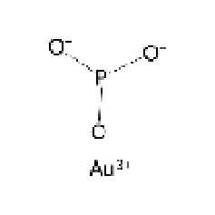 [Au+3].[O-]P([O-])[O-]